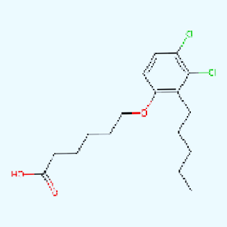 CCCCCc1c(OCCCCCC(=O)O)ccc(Cl)c1Cl